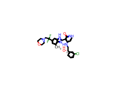 Cc1cc(C(F)(F)CN2CCOCC2)cc2[nH]c(-c3c(NC[C@@H](O)c4cccc(Cl)c4)cc[nH]c3=O)nc12